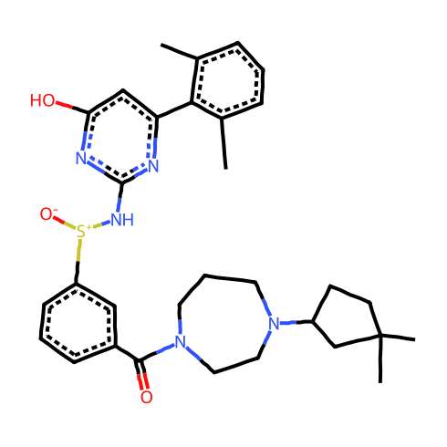 Cc1cccc(C)c1-c1cc(O)nc(N[S+]([O-])c2cccc(C(=O)N3CCCN(C4CCC(C)(C)C4)CC3)c2)n1